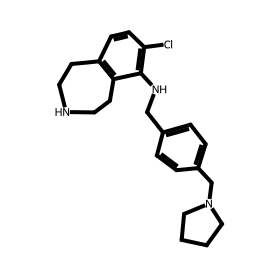 Clc1ccc2c(c1NCc1ccc(CN3CCCC3)cc1)CCNCC2